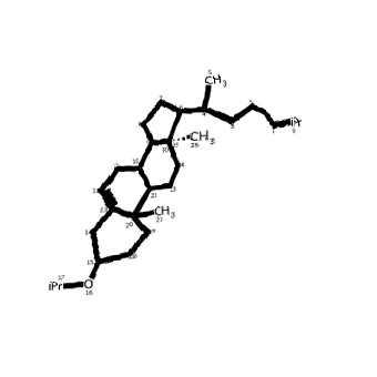 CC(C)CCCC(C)C1CCC2C3CC=C4CC(OC(C)C)CCC4(C)C3CC[C@]12C